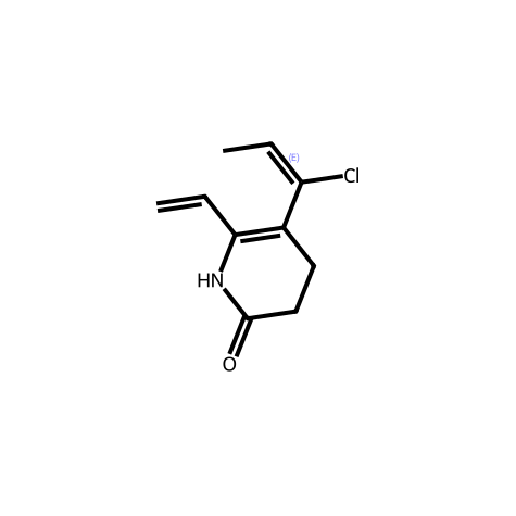 C=CC1=C(/C(Cl)=C\C)CCC(=O)N1